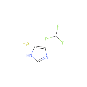 FC(F)F.S.c1c[nH]cn1